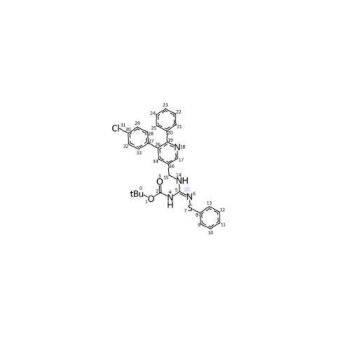 CC(C)(C)OC(=O)N/C(=N\Sc1ccccc1)NCc1cnc(-c2ccccc2)c(-c2ccc(Cl)cc2)c1